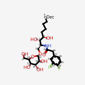 CCCCCCCCCCCCCC[C@@H](O)[C@@H](O)[C@H](CO[C@H]1OC(CO)[C@H](O)[C@H](O)C1O)NC(=O)Cc1ccc(F)c(F)c1